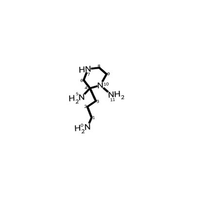 NCCCC1(N)CNCCN1N